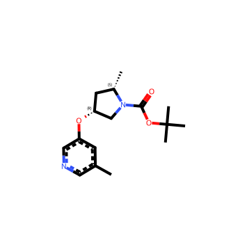 Cc1cncc(O[C@@H]2C[C@H](C)N(C(=O)OC(C)(C)C)C2)c1